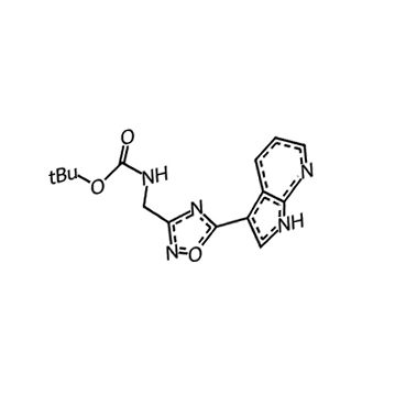 CC(C)(C)OC(=O)NCc1noc(-c2c[nH]c3ncccc23)n1